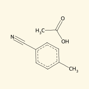 CC(=O)O.Cc1ccc(C#N)cc1